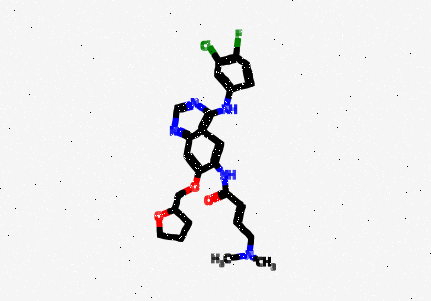 CN(C)CC=CC(=O)Nc1cc2c(Nc3ccc(F)c(Cl)c3)ncnc2cc1OCC1CCCO1